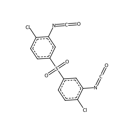 O=C=Nc1cc(S(=O)(=O)c2ccc(Cl)c(N=C=O)c2)ccc1Cl